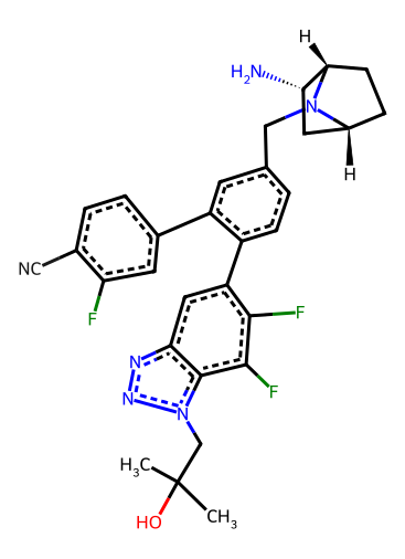 CC(C)(O)Cn1nnc2cc(-c3ccc(CN4[C@@H]5CC[C@H]4[C@@H](N)C5)cc3-c3ccc(C#N)c(F)c3)c(F)c(F)c21